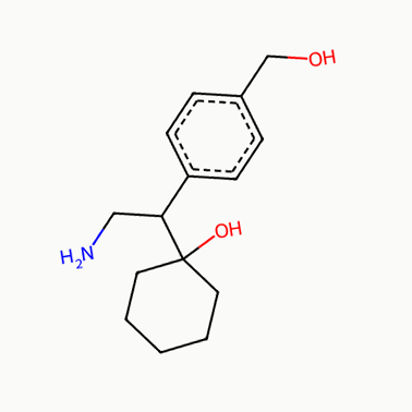 NCC(c1ccc(CO)cc1)C1(O)CCCCC1